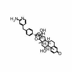 C[C@]12C=CC(=O)C=C1CC[C@@H]1[C@@H]2[C@@H](O)C[C@@]2(C)[C@H]1C[C@H]1O[C@@H](c3ccc(Cc4ccnc(N)c4)cc3)OC12C(=O)CO